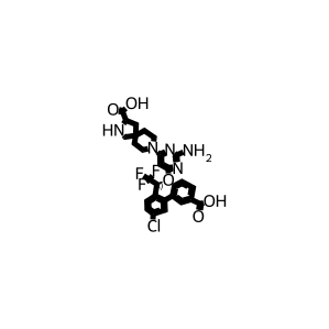 Nc1nc(O[C@H](c2ccc(Cl)cc2-c2cccc(C(=O)O)c2)C(F)(F)F)cc(N2CCC3(CC2)CNC(C(=O)O)C3)n1